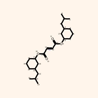 CC(C)CC1CCCC(OC(=O)/C=C/C(=O)OC2CCCC(CC(C)C)C2)C1